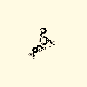 O=C(O)CN1CCN(Cc2ccccn2)CCN(C(Cc2ccc([N+](=O)[O-])cc2)C(=O)O)CC1